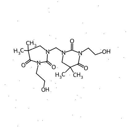 CC1(C)CN(CN2CC(C)(C)C(=O)N(CCO)C2=O)C(=O)N(CCO)C1=O